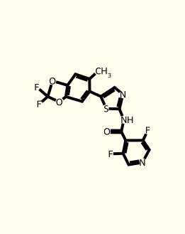 Cc1cc2c(cc1-c1cnc(NC(=O)c3c(F)cncc3F)s1)OC(F)(F)O2